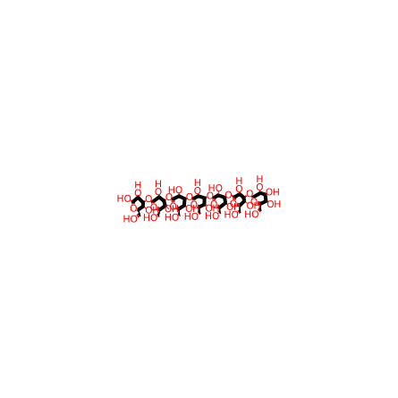 OC[C@H]1O[C@@H](O[C@@H]2[C@@H](O)[C@H](O[C@@H]3[C@@H](O)[C@H](O[C@@H]4[C@@H](O)[C@H](O[C@@H]5[C@@H](O)[C@H](O[C@@H]6[C@@H](O)[C@H](O[C@@H]7[C@@H](O)[C@H](O)O[C@H](CO)[C@H]7O)O[C@H](CO)[C@H]6O)O[C@H](CO)[C@H]5O)O[C@H](CO)[C@H]4O)O[C@H](CO)[C@H]3O)O[C@H](CO)[C@H]2O)[C@H](O)[C@@H](O)[C@@H]1O